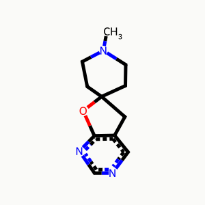 CN1CCC2(CC1)Cc1cncnc1O2